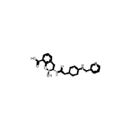 O=C(CC1CCC(NCc2cccnc2)CC1)N[C@H]1Cc2cccc(C(=O)O)c2OB1O